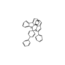 C1=CC(n2c(-c3ccccc3)cc3ccccc32)(n2c3ccccc3c3ccccc32)C=CC1c1ccccc1